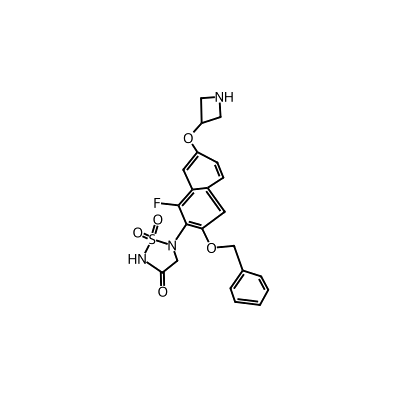 O=C1CN(c2c(OCc3ccccc3)cc3ccc(OC4CNC4)cc3c2F)S(=O)(=O)N1